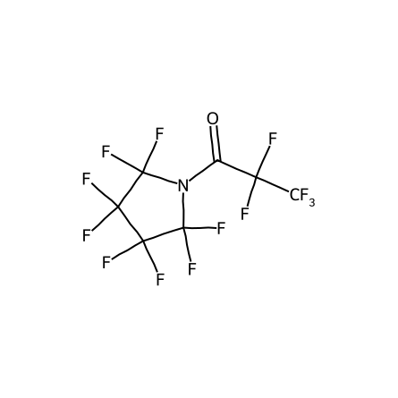 O=C(N1C(F)(F)C(F)(F)C(F)(F)C1(F)F)C(F)(F)C(F)(F)F